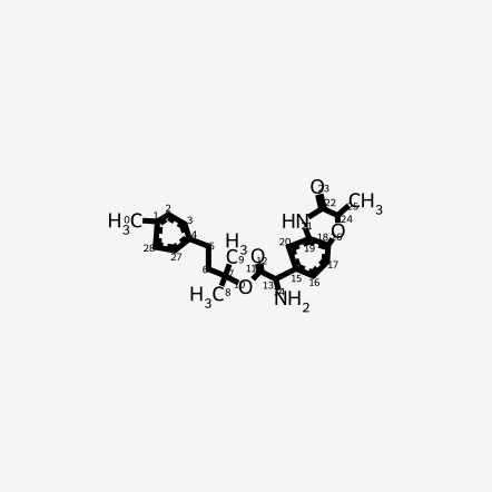 Cc1ccc(CCC(C)(C)OC(=O)C(N)c2ccc3c(c2)NC(=O)C(C)O3)cc1